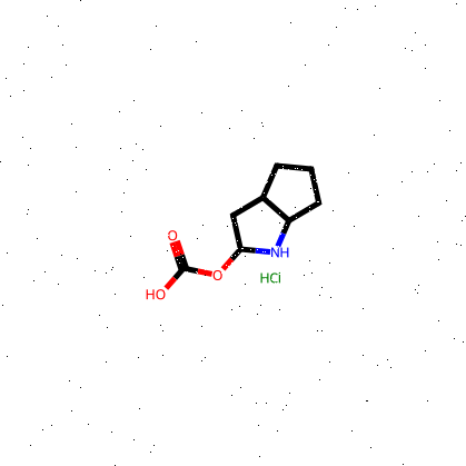 Cl.O=C(O)OC1CC2CCCC2N1